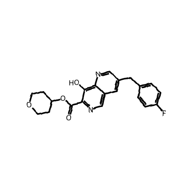 O=C(OC1CCOCC1)c1ncc2cc(Cc3ccc(F)cc3)cnc2c1O